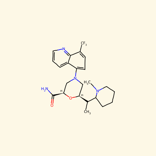 CC(C1CCCCN1C)[C@@H]1CN(c2ccc(C(F)(F)F)c3ncccc23)C[C@H](C(N)=O)O1